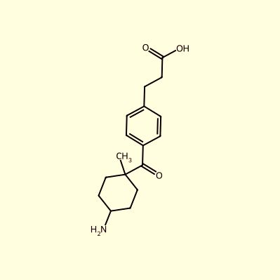 CC1(C(=O)c2ccc(CCC(=O)O)cc2)CCC(N)CC1